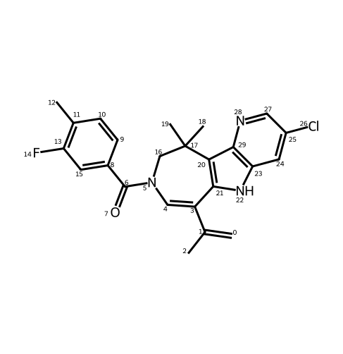 C=C(C)C1=CN(C(=O)c2ccc(C)c(F)c2)CC(C)(C)c2c1[nH]c1cc(Cl)cnc21